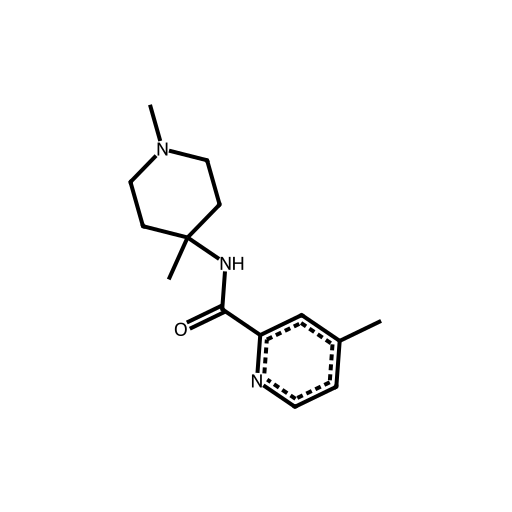 Cc1ccnc(C(=O)NC2(C)CCN(C)CC2)c1